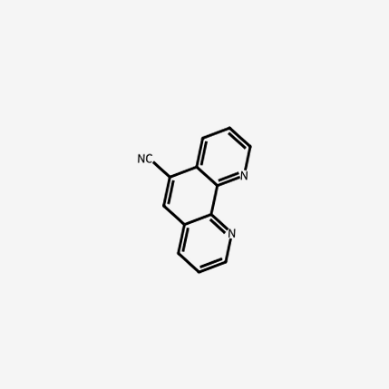 N#Cc1cc2cccnc2c2ncccc12